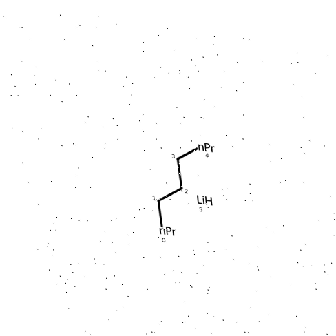 CCCC[CH]CCCC.[LiH]